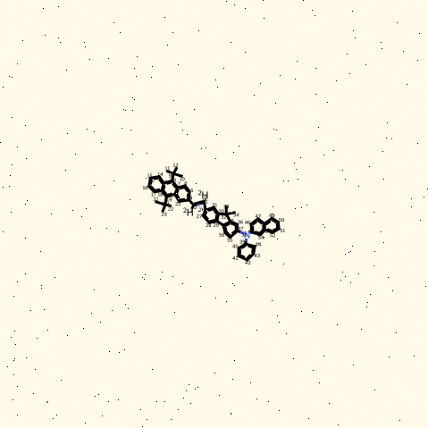 [2H]/C(=C(/[2H])c1ccc2c(C(C)(C)C)c3ccccc3c(C(C)(C)C)c2c1)c1ccc2c(c1)C(C)(C)c1cc(N(c3ccccc3)c3ccc4ccccc4c3)ccc1-2